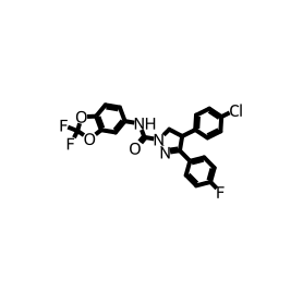 O=C(Nc1ccc2c(c1)OC(F)(F)O2)N1CC(c2ccc(Cl)cc2)C(c2ccc(F)cc2)=N1